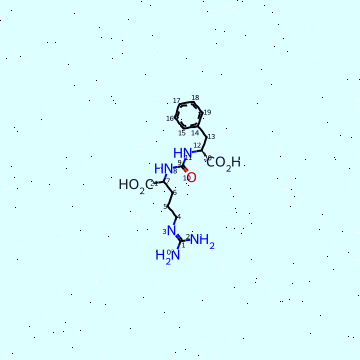 NC(N)=NCCCC(NC(=O)N[C@@H](Cc1ccccc1)C(=O)O)C(=O)O